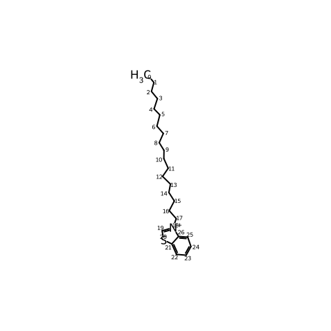 CCCCCCCCCCCCCCCCCC[n+]1csc2ccccc21